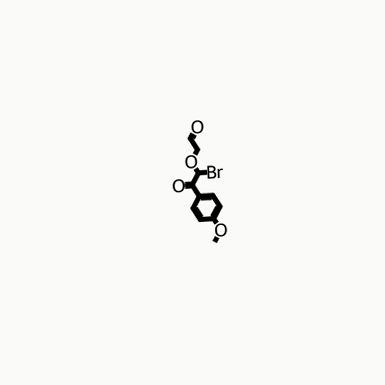 COc1ccc(C(=O)C(Br)OCC=O)cc1